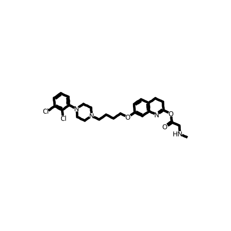 CNCC(=O)OC1=Nc2cc(OCCCCN3CCN(c4cccc(Cl)c4Cl)CC3)ccc2CC1